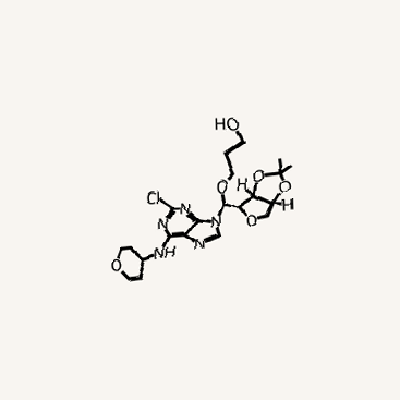 CC1(C)O[C@@H]2[C@@H](CO[C@H]2C(OCCCO)n2cnc3c(NC4CCOCC4)nc(Cl)nc32)O1